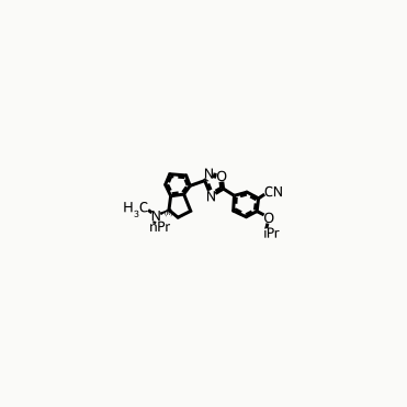 CCCN(C)[C@@H]1CCc2c(-c3noc(-c4ccc(OC(C)C)c(C#N)c4)n3)cccc21